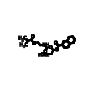 C=C(C)C(=O)OCCNC(=O)OC(CCCCCCCCCCC)OC(=O)c1ccc2ccccc2c1